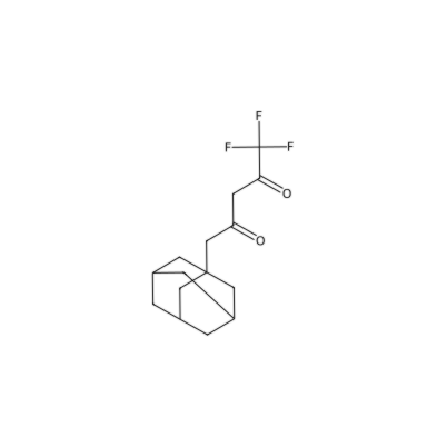 O=C(CC(=O)C(F)(F)F)CC12CC3CC(CC(C3)C1)C2